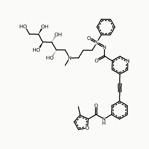 Cc1ccoc1C(=O)Nc1cccc(C#Cc2cncc(C(=O)N=S(=O)(CCCN(C)C[C@H](O)[C@@H](O)[C@@H](O)[C@H](O)CO)c3ccccc3)c2)c1